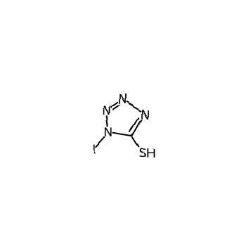 Sc1nnnn1I